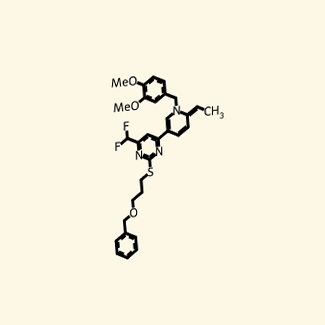 C/C=C1\C=CC(c2cc(C(F)F)nc(SCCCOCc3ccccc3)n2)=CN1Cc1ccc(OC)c(OC)c1